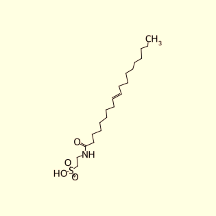 CCCCCCCCCC=CCCCCCCCC(=O)NCCS(=O)(=O)O